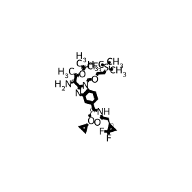 C[C@@H](O[C@H](C)C(F)(F)F)[C@H](N)c1nc2cc([C@@H](COC3CC3)NC(=O)C[C@H]3CC3(F)F)ccc2n1COCC[Si](C)(C)C